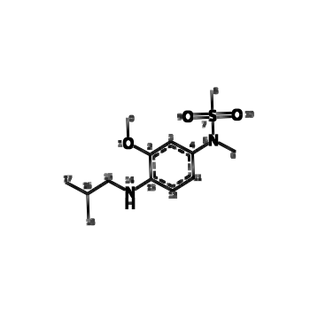 COc1cc(N(C)S(C)(=O)=O)ccc1NCC(C)C